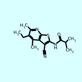 CCc1c(C)nc2sc(NC(=O)C(C)C)c(C#N)c2c1C